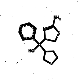 NC1=NC(C(O)(c2ccccc2)C2CCCC2)CS1